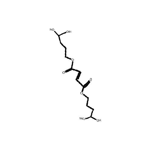 O=C(/C=C/C(=O)OCCCC(O)O)OCCCC(O)O